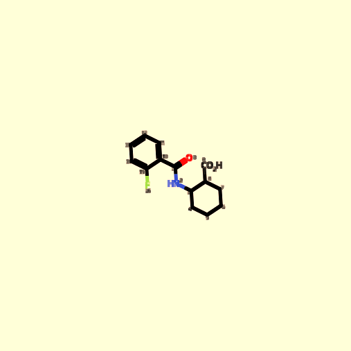 O=C(NC1CCCCC1C(=O)O)c1ccccc1F